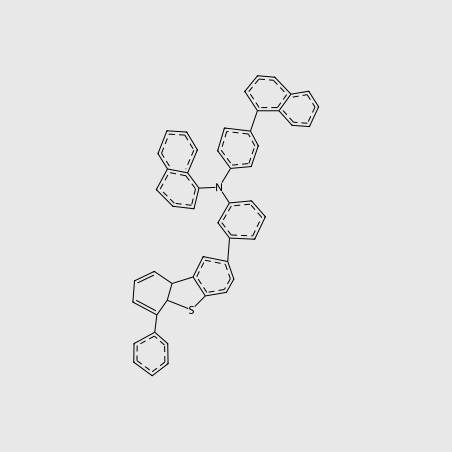 C1=CC2c3cc(-c4cccc(N(c5ccc(-c6cccc7ccccc67)cc5)c5cccc6ccccc56)c4)ccc3SC2C(c2ccccc2)=C1